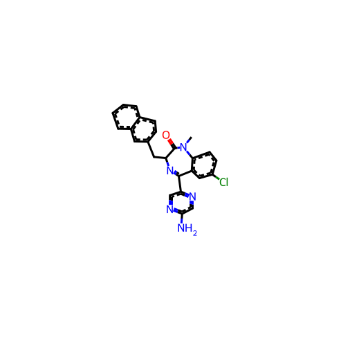 CN1C(=O)C(Cc2ccc3ccccc3c2)N=C(c2cnc(N)cn2)c2cc(Cl)ccc21